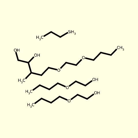 CCCCOCCO.CCCCOCCO.CCCCOCCOCCC(C)C(O)CO.CCC[SiH3]